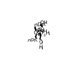 CCCCCCCCCCCCOCCCCCCCCCCCC.O=S(=O)(O)O.OCCONOCCO